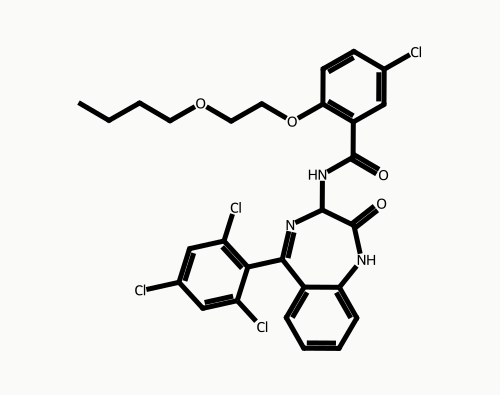 CCCCOCCOc1ccc(Cl)cc1C(=O)NC1N=C(c2c(Cl)cc(Cl)cc2Cl)c2ccccc2NC1=O